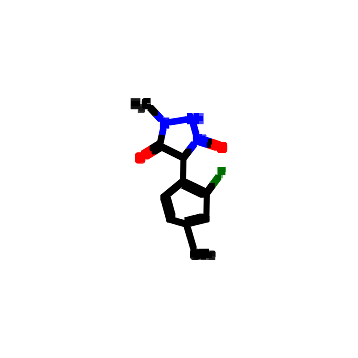 COc1ccc(C2C(=O)N(C)N[N+]2=O)c(F)c1